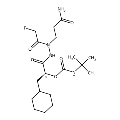 CC(C)(C)NC(=O)O[C@@H](CC1CCCCC1)C(=O)NN(CCC(N)=O)C(=O)CF